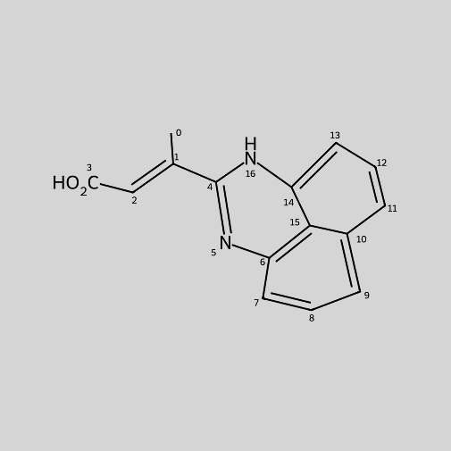 CC(=CC(=O)O)C1=Nc2cccc3cccc(c23)N1